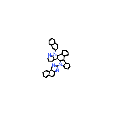 c1ccc2cc(-n3c4ncccc4c4c5c(c6ccccc6c43)c3ccccc3n5-c3ncc4c(ccc5ccccc54)n3)ccc2c1